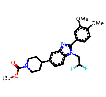 COc1ccc(-c2nc3cc(C4CCN(C(=O)OC(C)(C)C)CC4)ccc3n2CC(F)F)cc1OC